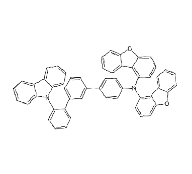 c1cc(-c2ccc(N(c3cccc4oc5ccccc5c34)c3cccc4oc5ccccc5c34)cc2)cc(-c2ccccc2-n2c3ccccc3c3ccccc32)c1